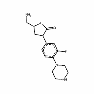 NCC1CC(c2ccc(N3CCNCC3)c(F)c2)C(=O)O1